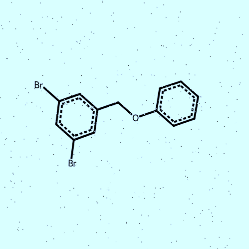 Brc1cc(Br)cc(COc2cc[c]cc2)c1